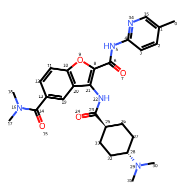 Cc1ccc(NC(=O)c2oc3ccc(C(=O)N(C)C)cc3c2NC(=O)[C@H]2CC[C@H](N(C)C)CC2)nc1